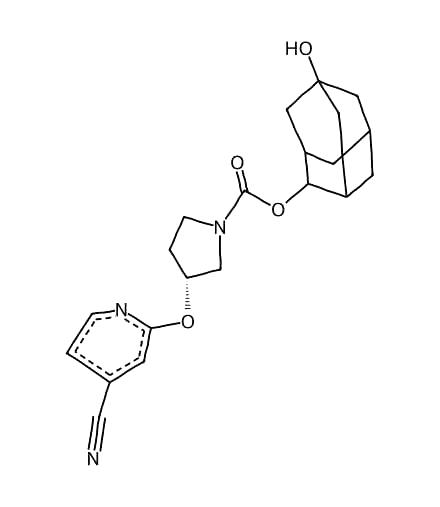 N#Cc1ccnc(O[C@@H]2CCN(C(=O)OC3C4CC5CC3CC(O)(C5)C4)C2)c1